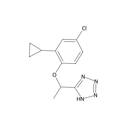 CC(Oc1ccc(Cl)cc1C1CC1)c1nnn[nH]1